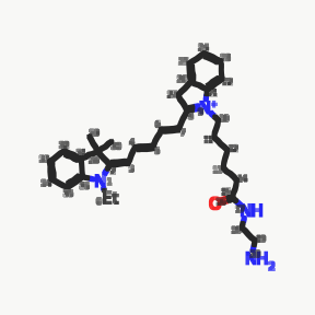 CCN1/C(=C/C=C/C=C/C2=[N+](CCCCCC(=O)NCCN)c3ccccc3C2)C(C)(C)c2ccccc21